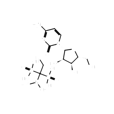 CN(C)C(CO)(P(=O)(O)O)P(=O)(O)O.Nc1ccn([C@@H]2O[C@H](CO)[C@@H](O)[C@H]2O)c(=O)n1